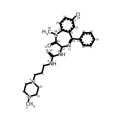 CN1CCN(CCCNC(=S)NC2N=C(c3ccccc3)c3cc(Cl)ccc3N(C)C2=O)CC1